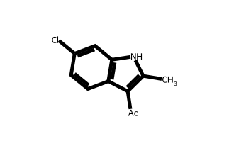 CC(=O)c1c(C)[nH]c2cc(Cl)ccc12